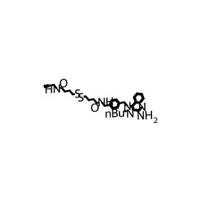 C#CCNC(=O)CCCSSCCCC(=O)NCc1ccc(Cn2c(CCCC)nc3c(N)nc4ccccc4c32)cc1